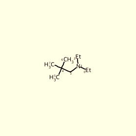 CCN(CC)CC(C)(C)C